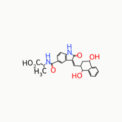 C[C@H](NC(=O)c1ccc2c(c1)C(=CC1CC(O)c3ccccc3C1O)C(=O)N2)C(=O)O